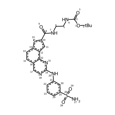 CC(C)(C)OC(=O)NCCNC(=O)c1cc2c(ccc3cnc(Nc4cccc(S(N)(=O)=O)c4)nc32)s1